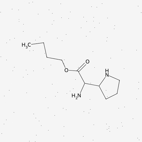 CCCCOC(=O)C(N)C1CCCN1